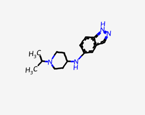 CC(C)N1CCC(Nc2ccc3[nH]ncc3c2)CC1